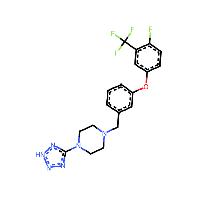 Fc1ccc(Oc2cccc(CN3CCN(c4nn[nH]n4)CC3)c2)cc1C(F)(F)F